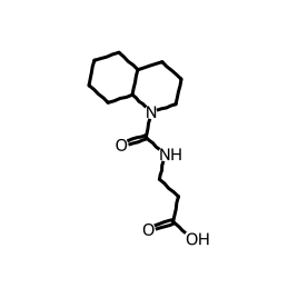 O=C(O)CCNC(=O)N1CCCC2CCCCC21